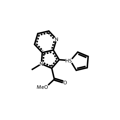 COC(=O)c1c([SH]2C=CC=C2)c2ncccc2n1C